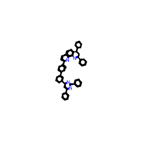 c1ccc(C2=Nc3c(ccc4ccc(-c5ccc(-c6cccc(-c7cc(-c8ccccc8)nc(-c8ccccc8)n7)c6)cc5)nc34)C(c3ccccc3)C2)cc1